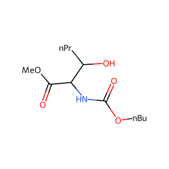 CCCCOC(=O)NC(C(=O)OC)C(O)CCC